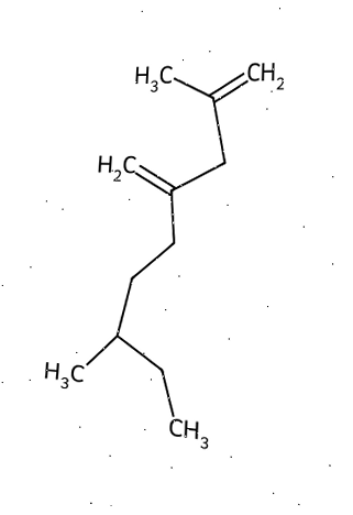 C=C(C)CC(=C)CCC(C)CC